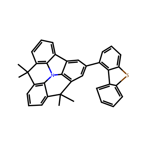 CC1(C)c2cccc3c2-n2c4c1cccc4c1cc(-c4cccc5sc6ccccc6c45)cc(c12)C3(C)C